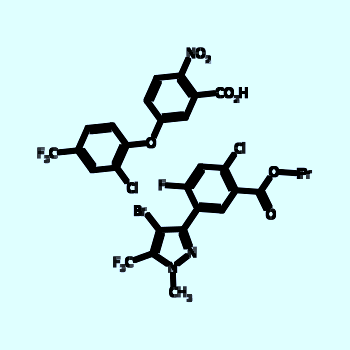 CC(C)OC(=O)c1cc(-c2nn(C)c(C(F)(F)F)c2Br)c(F)cc1Cl.O=C(O)c1cc(Oc2ccc(C(F)(F)F)cc2Cl)ccc1[N+](=O)[O-]